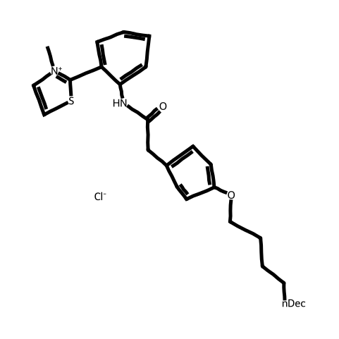 CCCCCCCCCCCCCCOc1ccc(CC(=O)Nc2ccccc2-c2scc[n+]2C)cc1.[Cl-]